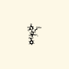 COCCO[C@H]1[C@H](n2ccc(=O)[nH]c2=O)O[C@@H]2C(OC(=O)c3ccccc3)[C@@]21N